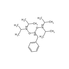 CC(C)[SiH](O[SiH](Cc1ccccc1)O[SiH](C(C)C)C(C)C)C(C)C